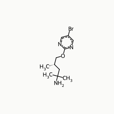 C[C@H](COc1ncc(Br)cn1)CC(C)(C)N